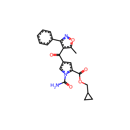 Cc1onc(-c2ccccc2)c1C(=O)c1cc(C(=O)OCC2CC2)n(C(N)=O)c1